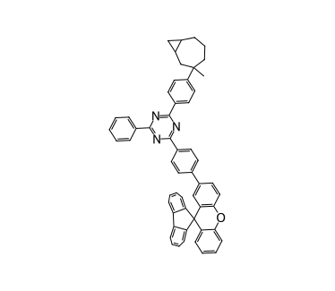 CC1(c2ccc(-c3nc(-c4ccccc4)nc(-c4ccc(-c5ccc6c(c5)C5(c7ccccc7O6)c6ccccc6-c6ccccc65)cc4)n3)cc2)CCCC2CC2C1